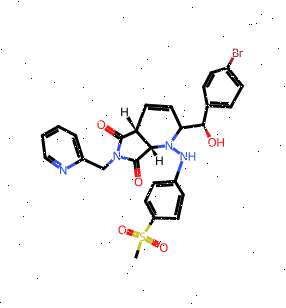 CS(=O)(=O)c1ccc(NN2C([C@H](O)c3ccc(Br)cc3)C=C[C@H]3C(=O)N(Cc4ccccn4)C(=O)[C@H]32)cc1